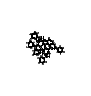 O=S(=O)(O)c1ccc(C=Cc2ccccc2)c(Nc2nc(Nc3ccccc3)nc(Nc3ccccc3)n2)c1Nc1nc(Nc2ccccc2)nc(Nc2ccccc2)n1